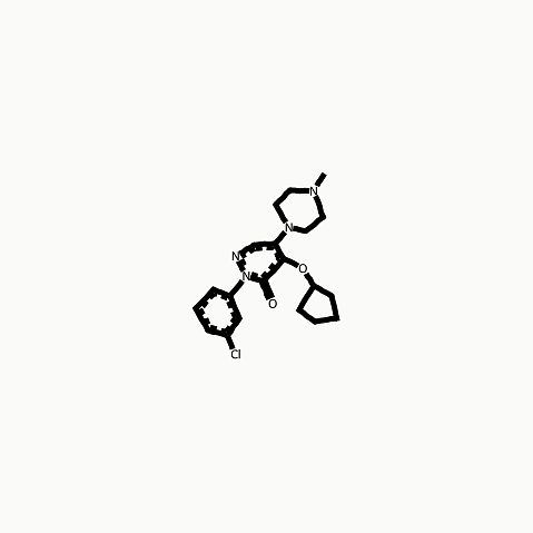 CN1CCN(c2cnn(-c3cccc(Cl)c3)c(=O)c2OC2CCCC2)CC1